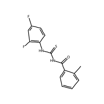 Cc1ccccc1C(=O)NC(=S)Nc1ccc(F)cc1F